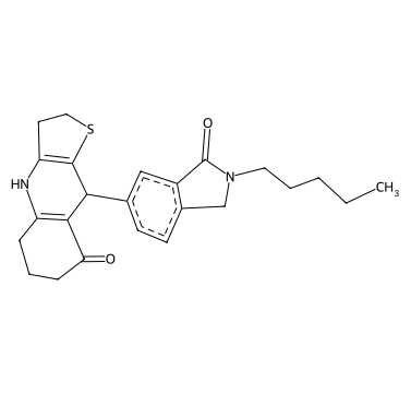 CCCCCN1Cc2ccc(C3C4=C(CCS4)NC4=C3C(=O)CCC4)cc2C1=O